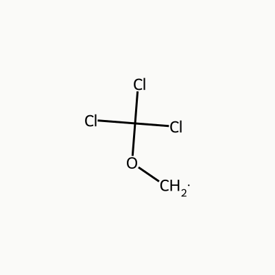 [CH2]OC(Cl)(Cl)Cl